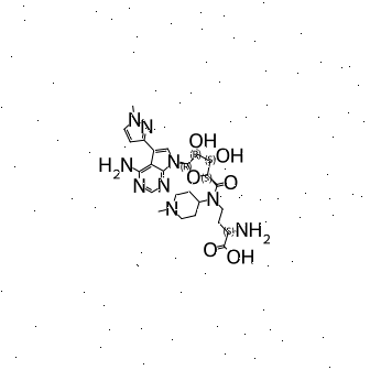 CN1CCC(N(CC[C@H](N)C(=O)O)C(=O)[C@H]2O[C@@H](n3cc(-c4ccn(C)n4)c4c(N)ncnc43)[C@H](O)[C@@H]2O)CC1